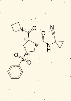 N#CC1(NC(=O)[C@@H]2C[C@@H](S(=O)(=O)c3ccccc3)C[C@H]2C(=O)N2CCC2)CC1